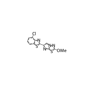 COc1nn2cc(-c3nc4c(Cl)cccc4s3)nc2s1